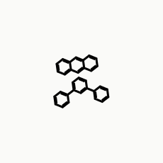 c1ccc(-c2cccc(-c3ccccc3)c2)cc1.c1ccc2cc3ccccc3cc2c1